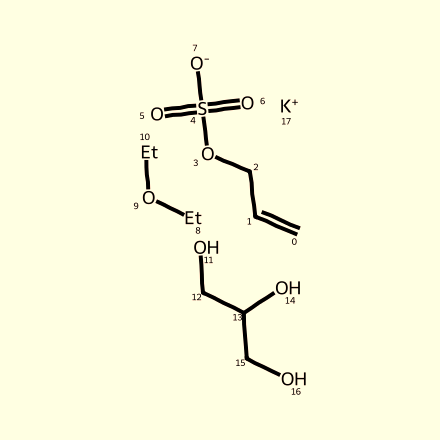 C=CCOS(=O)(=O)[O-].CCOCC.OCC(O)CO.[K+]